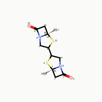 O=C1C[C@H]2SC(C3CN4C(=O)C[C@H]4S3)CN12